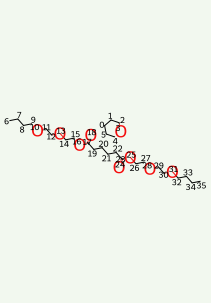 C1CCOCC1.CCCCOCCOCCOC(=O)CCCCC(=O)OCCOCCOCCCC